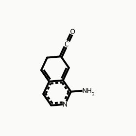 Nc1nccc2c1=CC(=C=O)CC=2